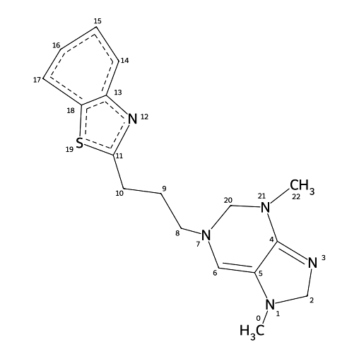 CN1CN=C2C1=CN(CCCc1nc3ccccc3s1)CN2C